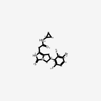 O=C(Cc1[nH]c(=S)n2c1C[C@@H](c1c(F)ccc(Br)c1F)C2)NC1CC1